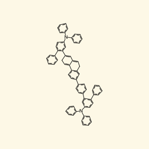 C1=C2C=C(c3cc(N(c4ccccc4)c4ccccc4)ccc3-c3ccccc3)CC=C2c2ccc(-c3ccc(-c4cc(N(c5ccccc5)c5ccccc5)ccc4-c4ccccc4)cc3)cc2C1